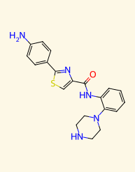 Nc1ccc(-c2nc(C(=O)Nc3ccccc3N3CCNCC3)cs2)cc1